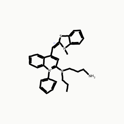 CCCN(CCCN)c1cc(/C=C2/Sc3ccccc3N2C)c2ccccc2[n+]1-c1ccccc1